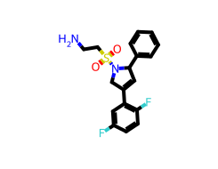 NCCS(=O)(=O)N1CC(c2cc(F)ccc2F)=CC1c1ccccc1